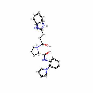 O=C(Nc1ccccc1-n1cccc1)[C@@H]1CCCN1C(=O)CCc1nc2ccccc2[nH]1